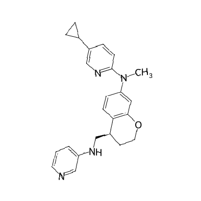 CN(c1ccc2c(c1)OCC[C@H]2CNc1cccnc1)c1ccc(C2CC2)cn1